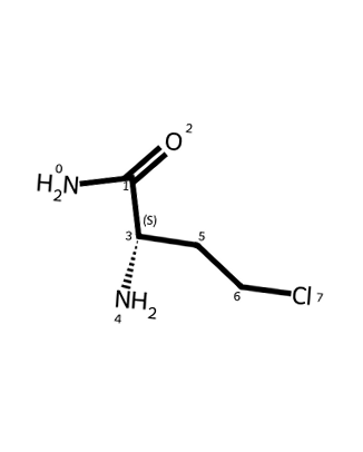 NC(=O)[C@@H](N)CCCl